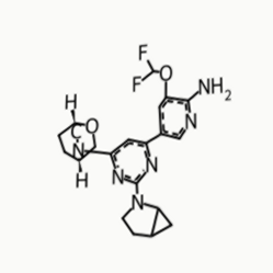 Nc1ncc(-c2cc(N3C[C@@H]4CC[C@H]3CO4)nc(N3CCC4CC43)n2)cc1OC(F)F